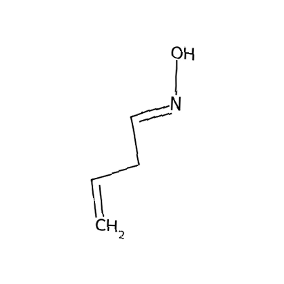 C=CCC=NO